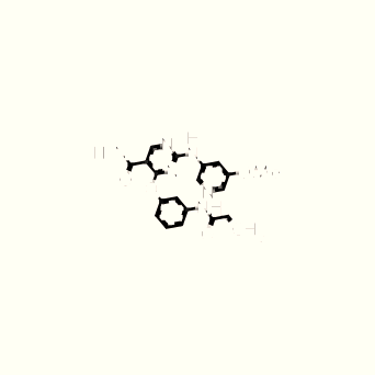 C=CC(=O)Nc1cccc(Oc2nc(Nc3cncc(OC)c3)ncc2C(N)=O)c1